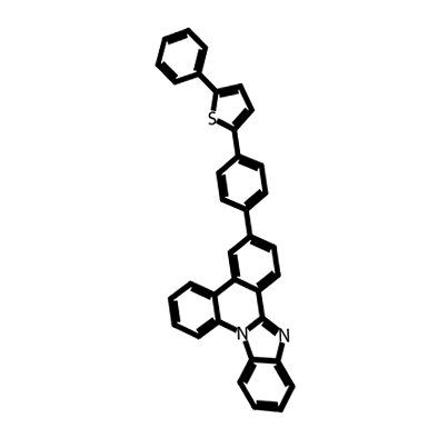 c1ccc(-c2ccc(-c3ccc(-c4ccc5c(c4)c4ccccc4n4c6ccccc6nc54)cc3)s2)cc1